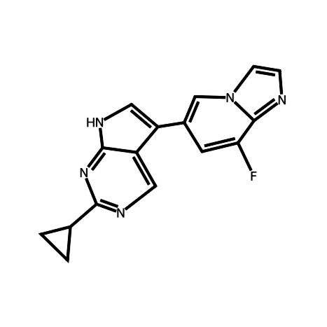 Fc1cc(-c2c[nH]c3nc(C4CC4)ncc23)cn2ccnc12